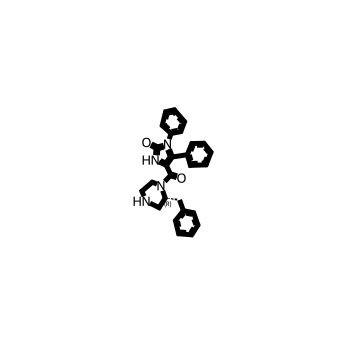 O=C(c1[nH]c(=O)n(-c2ccccc2)c1-c1ccccc1)N1CCNC[C@H]1Cc1ccccc1